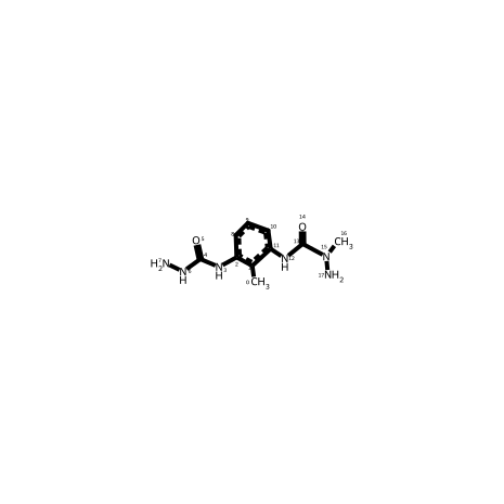 Cc1c(NC(=O)NN)cccc1NC(=O)N(C)N